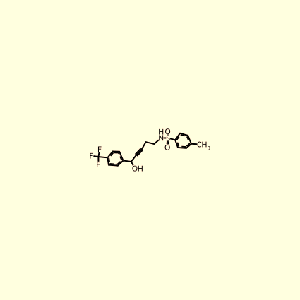 Cc1ccc(S(=O)(=O)NCCC#CC(O)c2ccc(C(F)(F)F)cc2)cc1